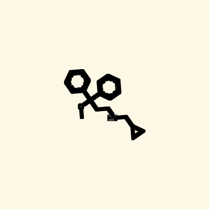 COC(CCNCC1CC1)(c1ccccc1)c1ccccc1